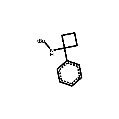 CC(C)(C)NC1(c2ccccc2)CCC1